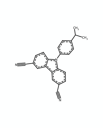 CC(C)c1ccc(-n2c3ccc(C#N)cc3c3cc(C#N)ccc32)cc1